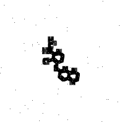 CNc1nccc(Sc2ccc3nccnc3n2)c1Cl